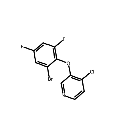 Fc1cc(F)c(Oc2cnccc2Cl)c(Br)c1